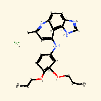 Cc1cc(Nc2ccc(OCCC(C)C)c(OCCC(C)C)c2)c2c(ccc3nc[nH]c32)n1.Cl